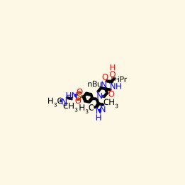 CCCCN1C(=O)[C@@H]([C@H](O)C(C)C)NC(=O)C12CCN(C(c1ccc(S(=O)(=O)NCCN(C)C)cc1)c1c(C)n[nH]c1C)CC2